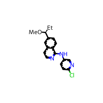 CC[C@H](OC)c1ccc2c(Nc3ccc(Cl)nc3)nccc2c1